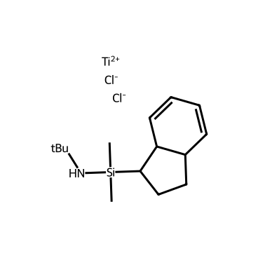 CC(C)(C)N[Si](C)(C)C1CCC2C=CC=CC21.[Cl-].[Cl-].[Ti+2]